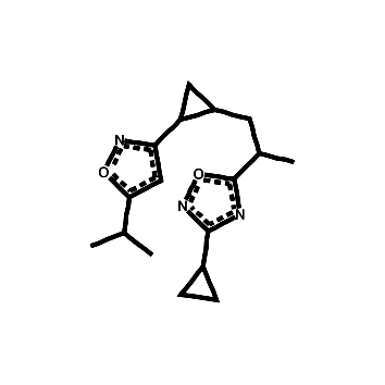 CC(C)c1cc(C2CC2CC(C)c2nc(C3CC3)no2)no1